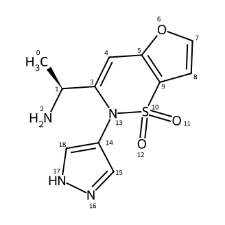 C[C@H](N)C1=Cc2occc2S(=O)(=O)N1c1cn[nH]c1